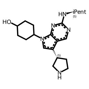 CCC[C@H](C)Nc1ncc2c([C@@H]3CCNC3)cn(C3CCC(O)CC3)c2n1